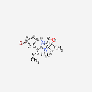 CCCCC1=NC(CC)(CC)C(C=O)N1Cc1ccc(Br)cc1